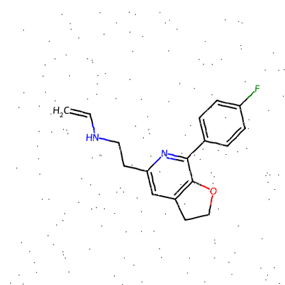 C=CNCCc1cc2c(c(-c3ccc(F)cc3)n1)OCC2